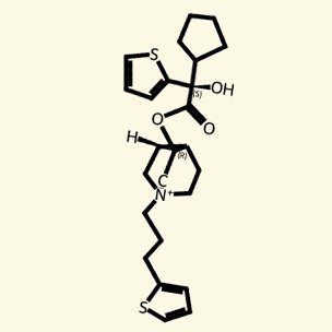 O=C(O[C@H]1C[N+]2(CCCc3cccs3)CCC1CC2)[C@](O)(c1cccs1)C1CCCC1